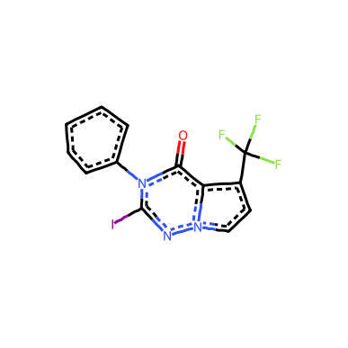 O=c1c2c(C(F)(F)F)ccn2nc(I)n1-c1ccccc1